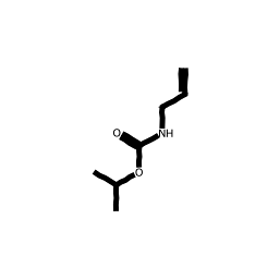 C=C[CH]NC(=O)OC(C)C